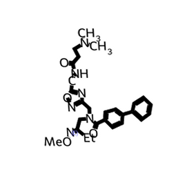 CC/C(CN(Cc1noc(CNC(=O)CCN(C)C)n1)C(=O)c1ccc(-c2ccccc2)cc1)=N\OC